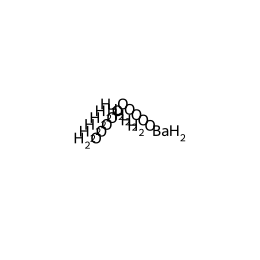 O.O.O.O.O.O.O.O.O.O.[BaH2]